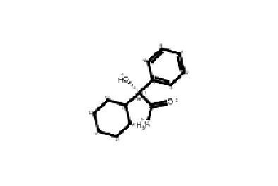 NC(=O)[C@](O)(c1ccccc1)C1CCCCC1